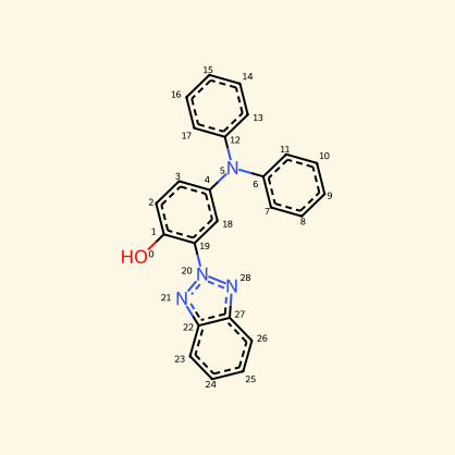 Oc1ccc(N(c2ccccc2)c2ccccc2)cc1-n1nc2ccccc2n1